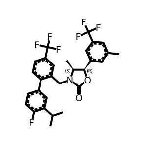 Cc1cc([C@H]2OC(=O)N(Cc3cc(C(F)(F)F)ccc3-c3ccc(F)c(C(C)C)c3)[C@H]2C)cc(C(F)(F)F)c1